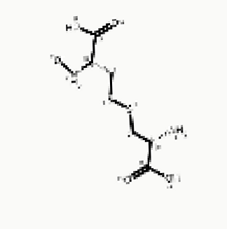 N[C@@H](CSSC[C@H]([NH2+][O-])C(=O)O)C(=O)O